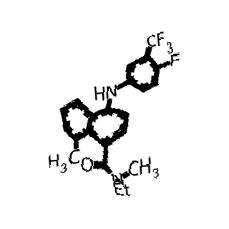 CCN(C)C(=O)c1ccc(Nc2ccc(F)c(C(F)(F)F)c2)c2cccc(C)c12